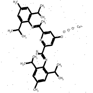 CC(=Nc1c(C(C)C)cc(C)cc1C(C)C)c1cc(Cl)cc(C(C)=Nc2c(C(C)C)cc(C)cc2C(C)C)n1.[Cl-].[Cl-].[Cl-].[Co+3]